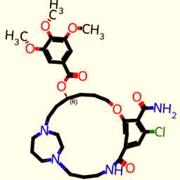 COc1cc(C(=O)O[C@@H]2CCCOc3cc(cc(Cl)c3C(N)=O)C(=O)NCCCN3CCCN(CC2)CC3)cc(OC)c1OC